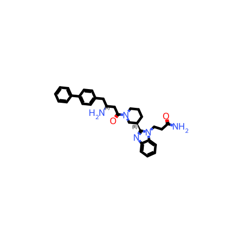 NC(=O)CCn1c([C@@H]2CCCN(C(=O)C[C@H](N)Cc3ccc(-c4ccccc4)cc3)C2)nc2ccccc21